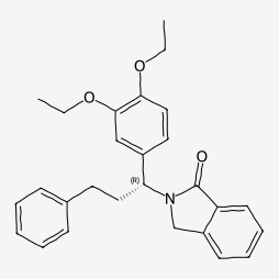 CCOc1ccc([C@@H](CCc2ccccc2)N2Cc3ccccc3C2=O)cc1OCC